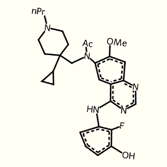 CCCN1CCC(CN(C(C)=O)c2cc3c(Nc4cccc(O)c4F)ncnc3cc2OC)(C2CC2)CC1